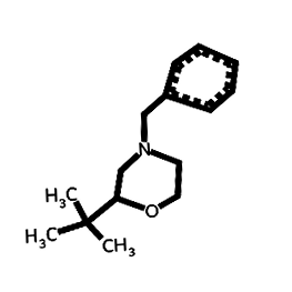 CC(C)(C)C1CN(Cc2ccccc2)CCO1